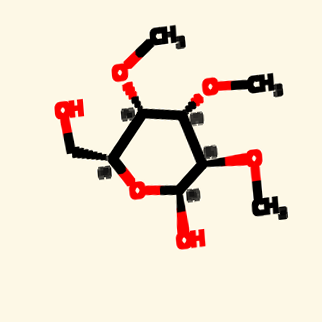 CO[C@@H]1[C@@H](OC)[C@@H](O)O[C@H](CO)[C@@H]1OC